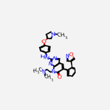 CN(C)CCn1c(=O)c(-c2ccccc2-c2cnoc2)cc2cnc(Nc3ccc(OC4CCN(C)C4)cc3)nc21